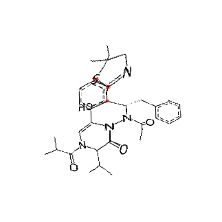 CC(=O)N([C@@H](Cc1ccccc1)C(O)C1=NCC(C)(C)S1)N1C(=O)C(C(C)C)N(C(=O)C(C)C)C=C1c1ccccc1